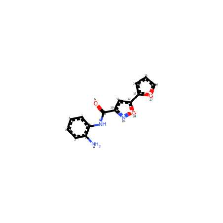 Nc1ccccc1NC(=O)c1cc(-c2ccco2)on1